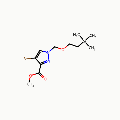 COC(=O)c1nn(COCC[Si](C)(C)C)cc1Br